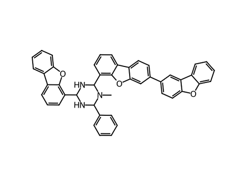 CN1C(c2ccccc2)NC(c2cccc3c2oc2ccccc23)NC1c1cccc2c1oc1cc(-c3ccc4oc5ccccc5c4c3)ccc12